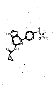 CCS(=O)(=O)Nc1ccc(-c2nc(NC(=O)C3CC3)nc3[nH]cnc23)cc1